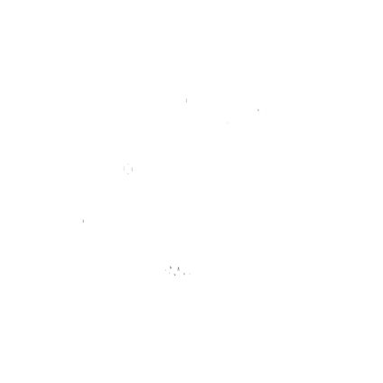 COC(CCCC(=O)Cl)C(=O)Cl